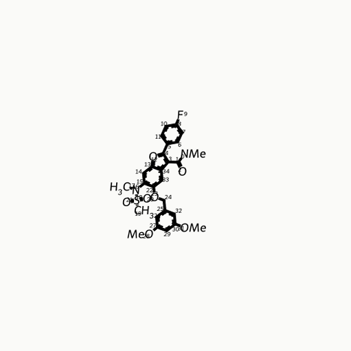 CNC(=O)c1c(-c2ccc(F)cc2)oc2cc(N(C)S(C)(=O)=O)c(OCc3cc(OC)cc(OC)c3)cc12